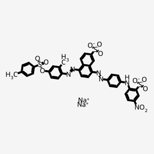 Cc1ccc(S(=O)(=O)Oc2ccc(N=Nc3ccc(N=Nc4ccc(Nc5ccc([N+](=O)[O-])cc5S(=O)(=O)[O-])cc4)c4cc(S(=O)(=O)[O-])ccc34)c(C)c2)cc1.[Na+].[Na+]